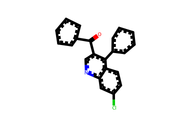 O=C(c1ccccc1)c1cnc2cc(Cl)ccc2c1-c1ccccc1